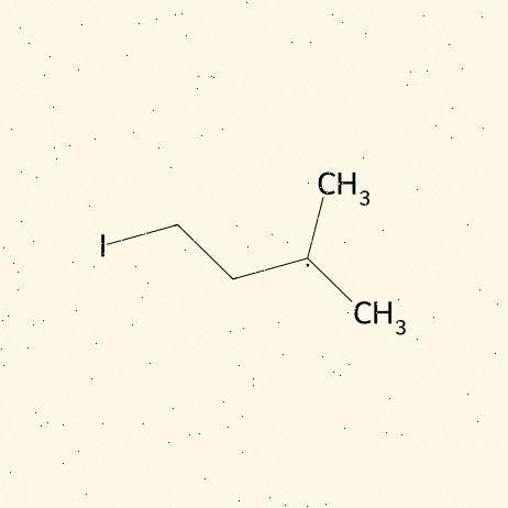 C[C](C)CCI